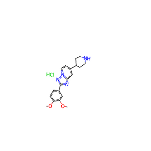 COc1ccc(-c2nc3cc(C4CCNCC4)ccn3n2)cc1OC.Cl